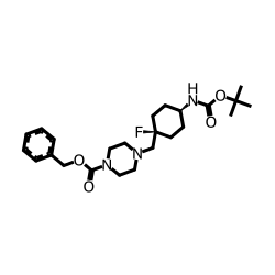 CC(C)(C)OC(=O)N[C@H]1CC[C@](F)(CN2CCN(C(=O)OCc3ccccc3)CC2)CC1